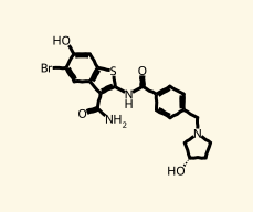 NC(=O)c1c(NC(=O)c2ccc(CN3CC[C@H](O)C3)cc2)sc2cc(O)c(Br)cc12